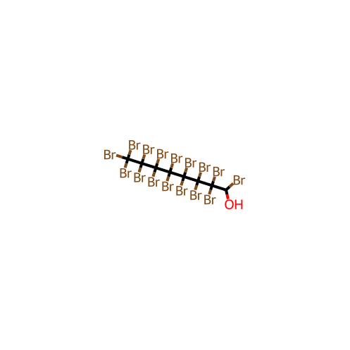 OC(Br)C(Br)(Br)C(Br)(Br)C(Br)(Br)C(Br)(Br)C(Br)(Br)C(Br)(Br)C(Br)(Br)Br